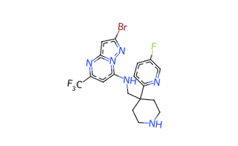 Fc1ccc(C2(CNc3cc(C(F)(F)F)nc4cc(Br)nn34)CCNCC2)nc1